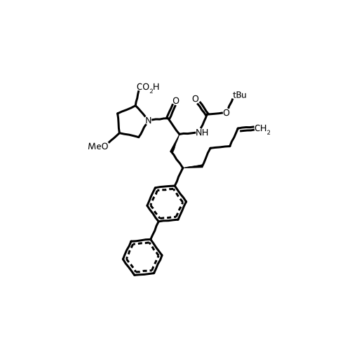 C=CCCC[C@H](C[C@H](NC(=O)OC(C)(C)C)C(=O)N1CC(OC)CC1C(=O)O)c1ccc(-c2ccccc2)cc1